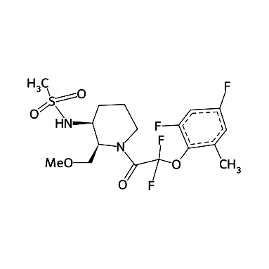 COC[C@H]1[C@@H](NS(C)(=O)=O)CCCN1C(=O)C(F)(F)Oc1c(C)cc(F)cc1F